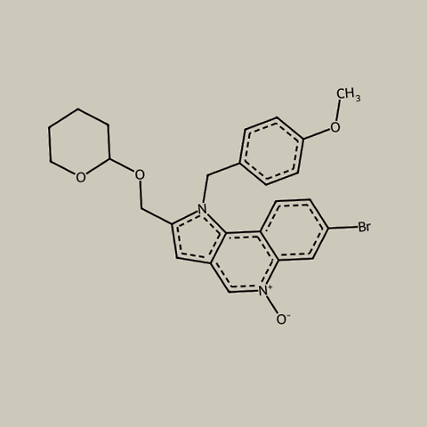 COc1ccc(Cn2c(COC3CCCCO3)cc3c[n+]([O-])c4cc(Br)ccc4c32)cc1